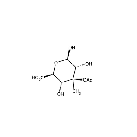 CC(=O)O[C@@]1(C)[C@H](O)[C@@H](C(=O)O)O[C@@H](O)[C@@H]1O